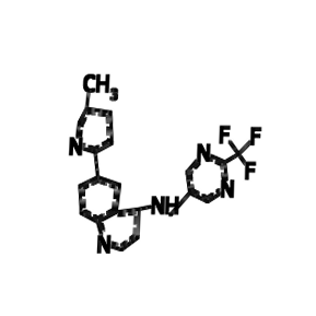 Cc1ccc(-c2ccc3nccc(NCc4cnc(C(F)(F)F)nc4)c3c2)nc1